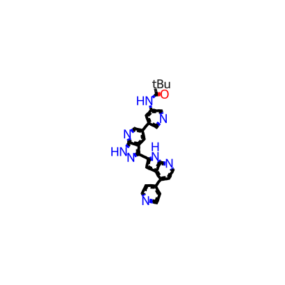 CC(C)(C)C(=O)Nc1cncc(-c2cnc3[nH]nc(-c4cc5c(-c6ccncc6)ccnc5[nH]4)c3c2)c1